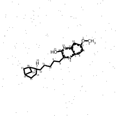 COc1ccc2nc(CCCCC[C@H]3CCC4CC3C4)c(O)nc2c1